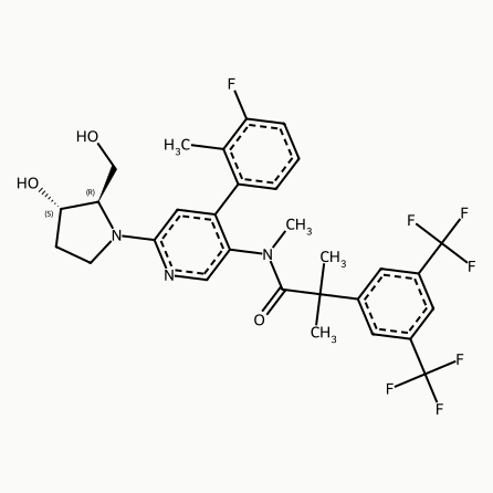 Cc1c(F)cccc1-c1cc(N2CC[C@H](O)[C@H]2CO)ncc1N(C)C(=O)C(C)(C)c1cc(C(F)(F)F)cc(C(F)(F)F)c1